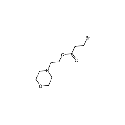 O=C(CCBr)OCCN1CCOCC1